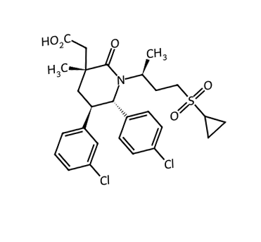 C[C@@H](CCS(=O)(=O)C1CC1)N1C(=O)[C@@](C)(CC(=O)O)C[C@H](c2cccc(Cl)c2)[C@H]1c1ccc(Cl)cc1